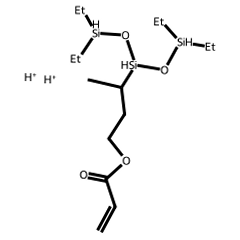 C=CC(=O)OCCC(C)[SiH](O[SiH](CC)CC)O[SiH](CC)CC.[H+].[H+]